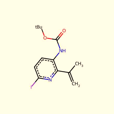 C=C(C)c1nc(I)ccc1NC(=O)OC(C)(C)C